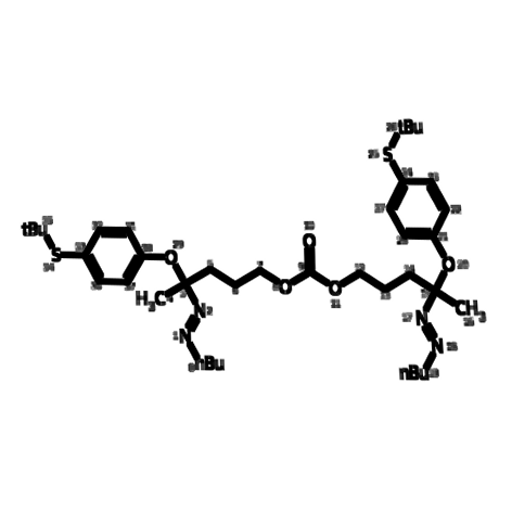 CCCC/N=N/C(C)(CCCOC(=O)OCCCC(C)(/N=N/CCCC)Oc1ccc(SC(C)(C)C)cc1)Oc1ccc(SC(C)(C)C)cc1